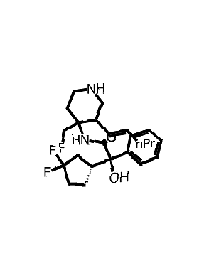 CCCC=CC1CNCCC1(CF)NC(=O)[C@](O)(c1ccccc1)[C@@H]1CCC(F)(F)C1